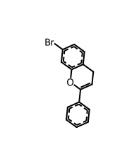 Brc1ccc2c(c1)OC(c1ccccc1)=CC2